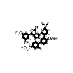 COc1ccc(-c2ccc(C(=O)O)cc2C)cc1-c1ccc(N(C)C)nc1[C@@H]1CCC2[C@@H](c3cc(C(F)(F)F)cc(C(F)(F)F)c3)OC(=O)N21